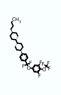 CCCC[C@H]1CC[C@H]([C@H]2CC[C@H](c3ccc(C(F)(F)Oc4cc(F)c(OC(F)(F)F)c(F)c4)cc3)CC2)CC1